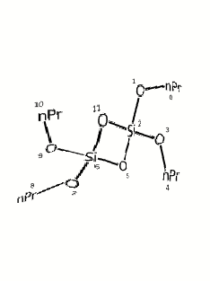 CCCO[Si]1(OCCC)O[Si](OCCC)(OCCC)O1